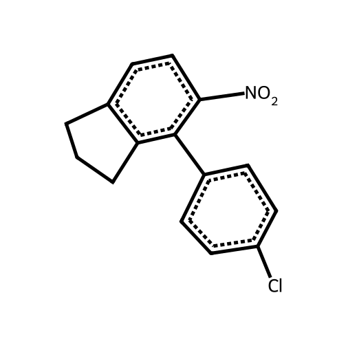 O=[N+]([O-])c1ccc2c(c1-c1ccc(Cl)cc1)CCC2